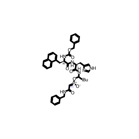 CCC(C)C(NC(=O)[C@H](Cc1c[nH]cn1)NC(=O)[C@@H](Cc1cccc2ccccc12)NC(=O)OCc1ccccc1)O/[P+]([O-])=C/C(=O)NCc1ccccc1